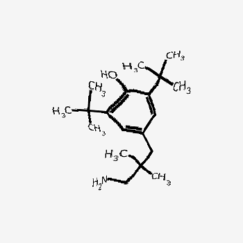 CC(C)(CN)Cc1cc(C(C)(C)C)c(O)c(C(C)(C)C)c1